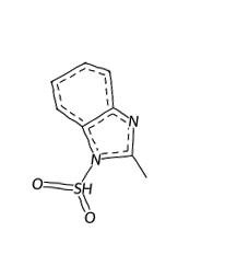 Cc1nc2ccccc2n1[SH](=O)=O